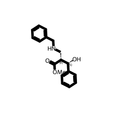 COC(=O)[C@H](CNCc1ccccc1)[C@H](O)c1ccccc1